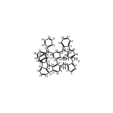 Cc1ccccc1Nc1ccc2c3cccc4c5ccccc5n(c2c1-c1cc(N(c2ccccc2)c2ccccc2)cc2c1Bc1cccc5c6ccccc6n-2c15)c43